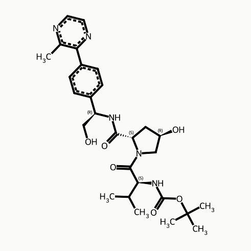 Cc1nccnc1-c1ccc([C@H](CO)NC(=O)[C@@H]2C[C@@H](O)CN2C(=O)[C@@H](NC(=O)OC(C)(C)C)C(C)C)cc1